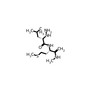 C=C(NC)[C@H](CCSC)NC(=O)[C@H](CC(C)C)NN